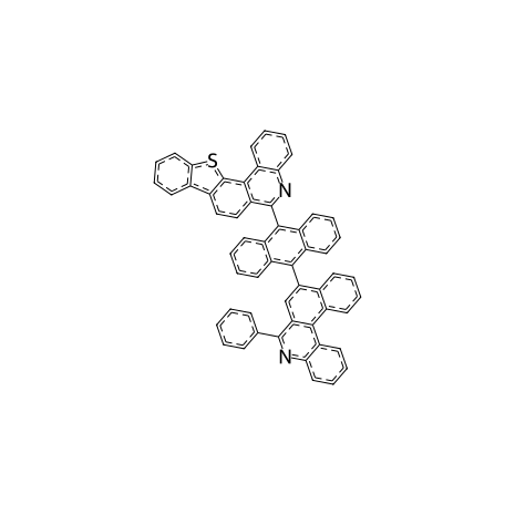 c1ccc(-c2nc3ccccc3c3c2cc(-c2c4ccccc4c(-c4nc5ccccc5c5c4ccc4c6ccccc6sc45)c4ccccc24)c2ccccc23)cc1